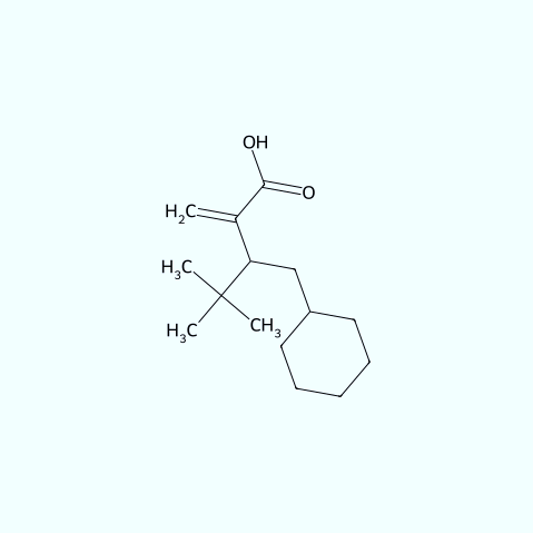 C=C(C(=O)O)C(CC1CCCCC1)C(C)(C)C